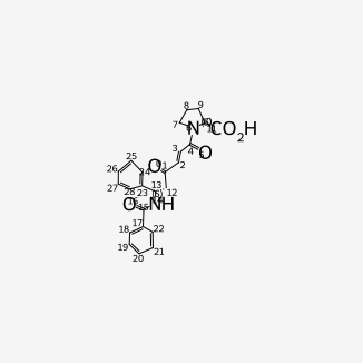 O=C(C=CC(=O)N1CCC[C@H]1C(=O)O)C[C@H](NC(=O)c1ccccc1)c1ccccc1